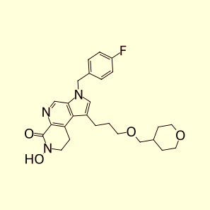 O=C1c2ncc3c(c(CCCOCC4CCOCC4)cn3Cc3ccc(F)cc3)c2CCN1O